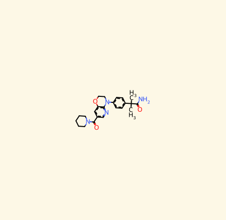 CC(C)(C(N)=O)c1ccc(N2CCOc3cc(C(=O)N4CCCCC4)cnc32)cc1